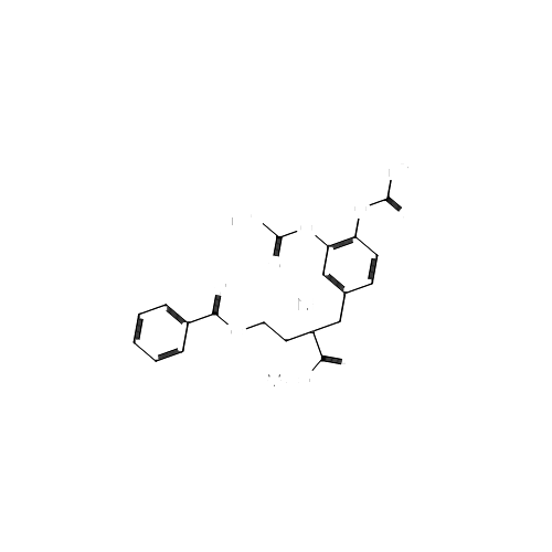 CCCC(=O)Oc1ccc(C[C@](N)(CCOC(=O)c2ccccc2)C(=O)OC)cc1OC(=O)CCC